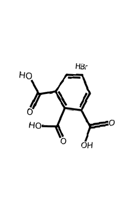 Br.O=C(O)c1cccc(C(=O)O)c1C(=O)O